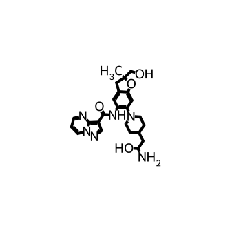 C[C@]1(CO)Cc2cc(NC(=O)c3cnn4cccnc34)c(N3CCC(CC(N)O)CC3)cc2O1